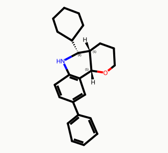 c1ccc(-c2ccc3c(c2)[C@H]2OCCC[C@H]2[C@@H](C2CCCCC2)N3)cc1